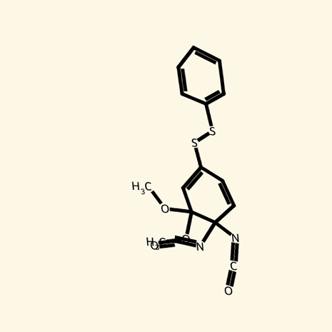 COC1(OC)C=C(SSc2ccccc2)C=CC1(N=C=O)N=C=O